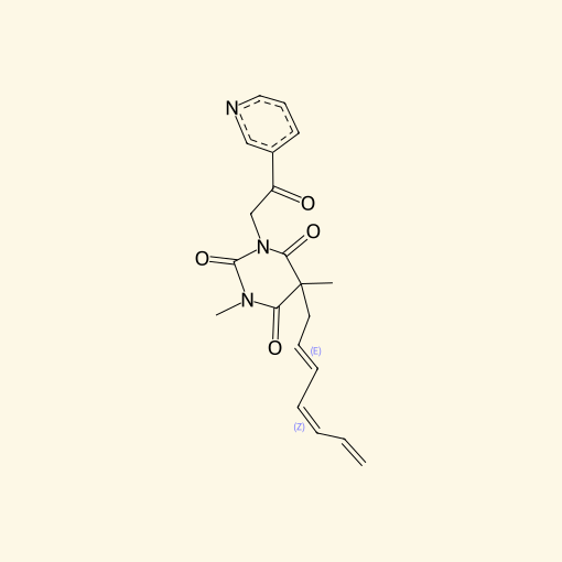 C=C/C=C\C=C\CC1(C)C(=O)N(C)C(=O)N(CC(=O)c2cccnc2)C1=O